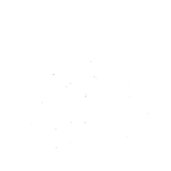 COc1c2n(cc(Br)c1=O)C(CC=O)C(=O)C(C)(C)C2O[Si](C)(C)C(C)(C)C